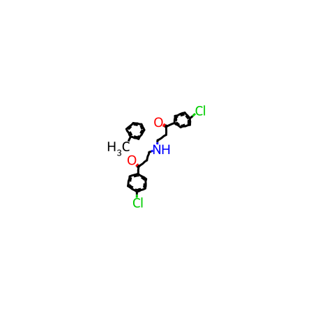 Cc1ccccc1.O=C(CCNCCC(=O)c1ccc(Cl)cc1)c1ccc(Cl)cc1